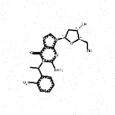 CC(=O)Nc1nc2c(ncn2[C@H]2C[C@H](O)[C@@H](CO)O2)c(=O)n1C(C)c1ccccc1[N+](=O)[O-]